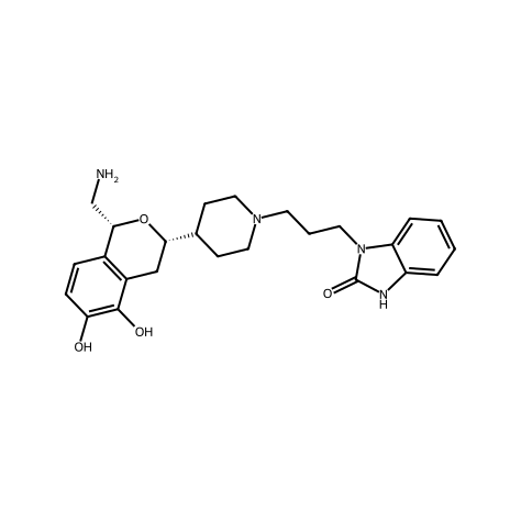 NC[C@@H]1O[C@H](C2CCN(CCCn3c(=O)[nH]c4ccccc43)CC2)Cc2c1ccc(O)c2O